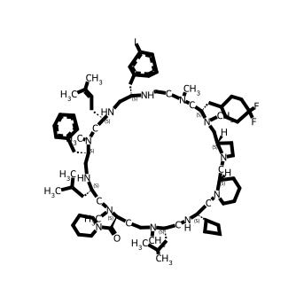 CC(C)=CC[C@H]1CN(C)[C@@H](Cc2ccccc2)CN[C@@H](CC(C)C)CN(C)[C@H](C(=O)N2CCCCC2)CCN(C)[C@@H](CC(C)C)CN[C@@H](C2CCC2)CN2CCCC[C@H]2CN2CC[C@H]2CN(C)[C@@H](CC2CCC(F)(F)CC2)CN(C)CCN[C@@H](Cc2cccc(I)c2)CN1